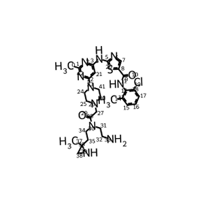 Cc1nc(Nc2ncc(C(=O)Nc3c(C)cccc3Cl)s2)cc(N2CCN(CC(=O)N(CCN)CCC3(C)CN3)CC2)n1